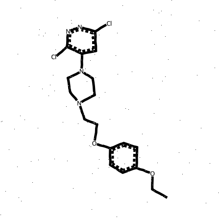 CCOc1ccc(OCCN2CCN(c3cc(Cl)nnc3Cl)CC2)cc1